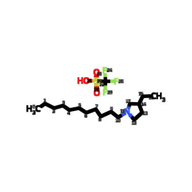 CCCCCCCCCCCN1CCC(CC)C1.O=S(=O)(O)C(F)(F)F